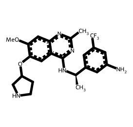 COc1cc2nc(C)nc(N[C@H](C)c3cc(N)cc(C(F)(F)F)c3)c2cc1OC1CCNC1